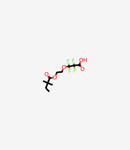 CCC(C)(C)C(=O)OCCOC(F)(F)C(F)(F)C(=O)O